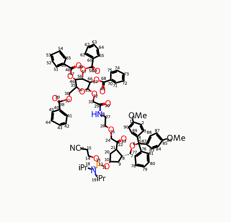 COc1ccc(C(OC[C@@H]2C[C@@H](OP(OCCC#N)N(C(C)C)C(C)C)CC2C(=O)COCCNC(=O)CO[C@H]2OC(COC(=O)c3ccccc3)[C@@H](OC(=O)c3ccccc3)[C@@H](OC(=O)c3ccccc3)C2OC(=O)c2ccccc2)(c2ccccc2)c2ccc(OC)cc2)cc1